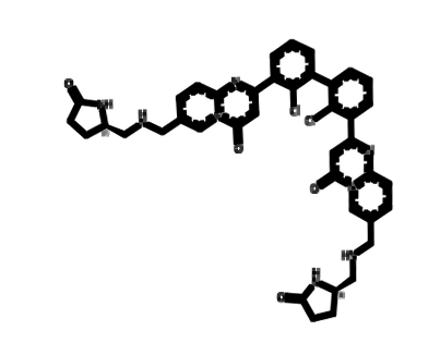 O=C1CC[C@H](CNCc2ccc3nc(-c4cccc(-c5cccc(-c6cc(=O)n7cc(CNC[C@H]8CCC(=O)N8)ccc7n6)c5Cl)c4Cl)cc(=O)n3c2)N1